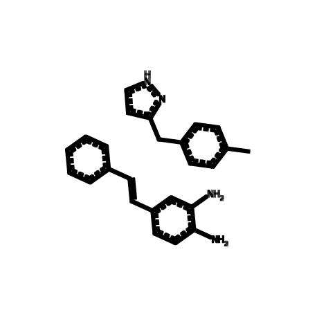 Cc1ccc(Cc2cc[nH]n2)cc1.Nc1ccc(C=Cc2ccccc2)cc1N